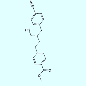 COC(=O)c1ccc(CCC(CO)Cc2ccc(C#N)cc2)cc1